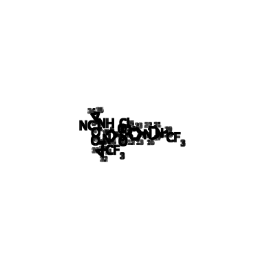 N#CC1(NC(=O)[C@@H]2C[C@@H](S(=O)(=O)c3ccc(N4CCN(CC(F)(F)F)CC4)cc3Cl)CN2C(=O)C2(C(F)(F)F)CC2)CC1